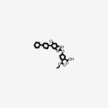 CCOC(=O)c1ccc(Oc2nc3cc(-c4ccc(-c5ccccc5)cc4)c(Cl)cc3[nH]2)cc1C(=O)O